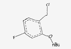 CCCCOc1cc(F)ccc1CCl